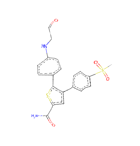 CS(=O)(=O)c1ccc(-c2cc(C(N)=O)sc2-c2ccc(NCC=O)cc2)cc1